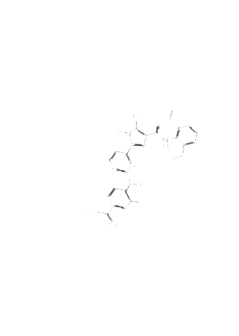 CCc1cccc(CC)c1NC(=O)c1cc(-c2ccnc(Nc3ccc(C(N)=O)cc3C)n2)n(C)c1Cl